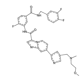 COCCN(C)Cc1cncc(-c2ccn3c(C(=O)Nc4cc(C(=O)NCc5ccc(F)c(F)c5)ccc4F)cnc3c2)c1